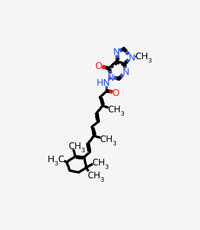 CC1=C(/C=C/C(C)=C/C=C/C(C)=C/C(=O)Nn2cnc3c(ncn3C)c2=O)C(C)(C)CCC1C